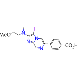 COCCN(C)c1nc2cnc(-c3ccc(C(=O)O)cc3)cn2c1I